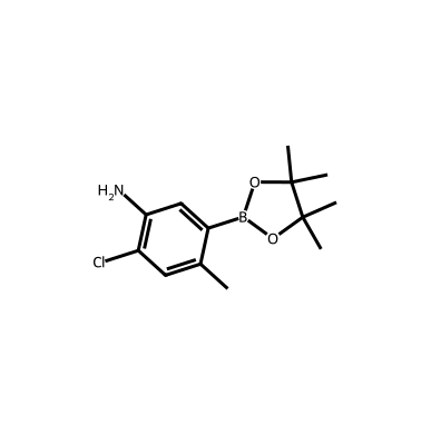 Cc1cc(Cl)c(N)cc1B1OC(C)(C)C(C)(C)O1